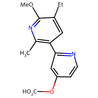 CCc1cc(-c2cc(OC(=O)O)ccn2)c(C)nc1OC